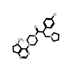 C[C@@H]1CCc2ncnc(N3CCN(C(=O)C(CN4CCCC4)c4ccc(Cl)cc4)CC3)c21